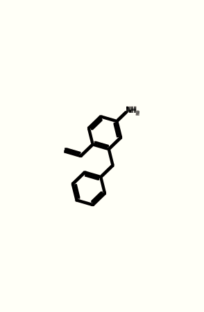 C=Cc1ccc(N)cc1Cc1ccccc1